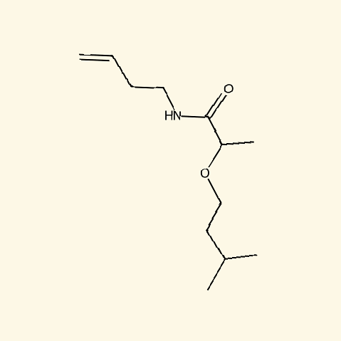 C=CCCNC(=O)C(C)OCCC(C)C